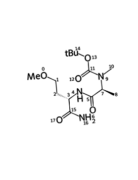 COCC[C@H](NC(=O)[C@H](C)N(C)C(=O)OC(C)(C)C)C(N)=O